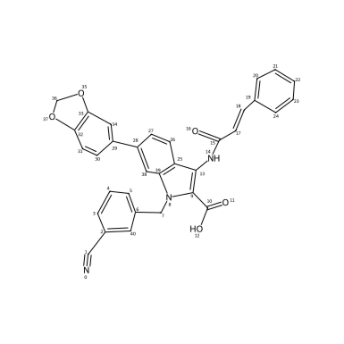 N#Cc1cccc(Cn2c(C(=O)O)c(NC(=O)C=Cc3ccccc3)c3ccc(-c4ccc5c(c4)OCO5)cc32)c1